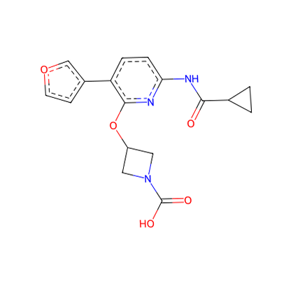 O=C(Nc1ccc(-c2ccoc2)c(OC2CN(C(=O)O)C2)n1)C1CC1